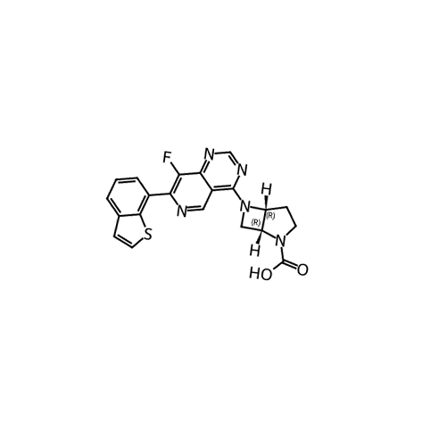 O=C(O)N1CC[C@@H]2[C@H]1CN2c1ncnc2c(F)c(-c3cccc4ccsc34)ncc12